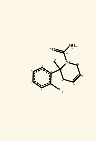 CC1(c2ccccc2F)CC=CCN1C(N)=O